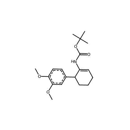 COc1ccc(C2CCCC=C2NC(=O)OC(C)(C)C)cc1OC